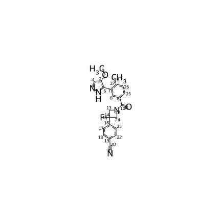 COc1cn[nH]c1-c1cc(C(=O)N2CC(F)(c3ccc(C#N)cc3)C2)ccc1C